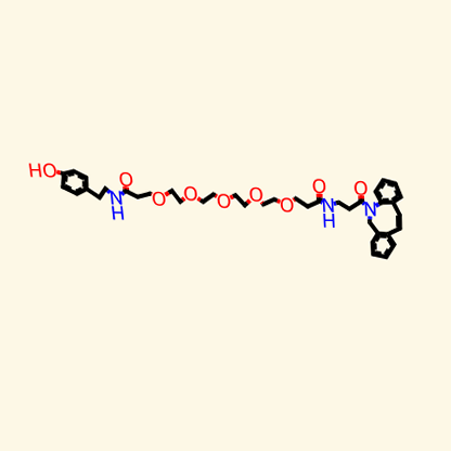 O=C(CCOCCOCCOCCOCCOCCC(=O)NCCc1ccc(O)cc1)NCCC(=O)N1Cc2ccccc2/C=C\c2ccccc21